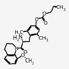 C=CCOC(=O)Oc1cc(C)c(C[C@H](N)C(=O)N2CCCc3cccc(OC)c32)c(C)c1